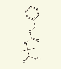 CC(C)(C)C(=O)C(C)(C)NC(=O)OCc1ccccc1